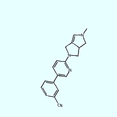 CN1C=C2CN(c3ccc(-c4cccc(C#N)c4)cn3)CC2C1